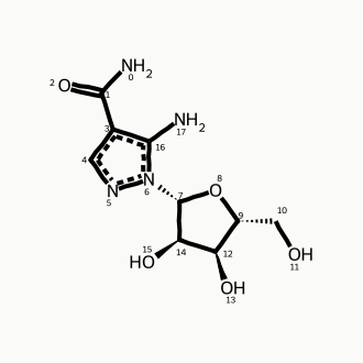 NC(=O)c1cnn([C@@H]2O[C@H](CO)[C@@H](O)[C@H]2O)c1N